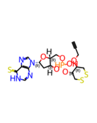 C#CCO[C@H]1CSSC[C@@H]1O[PH]1(O)OC[C@H]2O[C@@H](n3cnc4c(=S)[nH]cnc43)C[C@@H]2O1